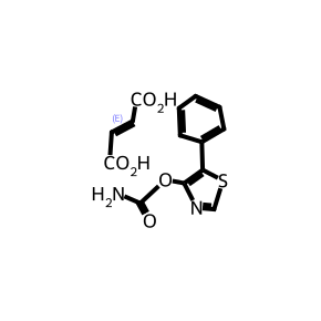 NC(=O)Oc1ncsc1-c1ccccc1.O=C(O)/C=C/C(=O)O